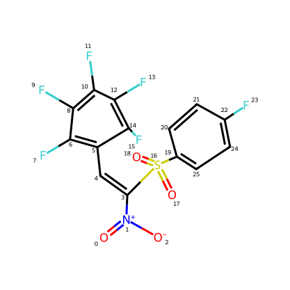 O=[N+]([O-])/C(=C/c1c(F)c(F)c(F)c(F)c1F)S(=O)(=O)c1ccc(F)cc1